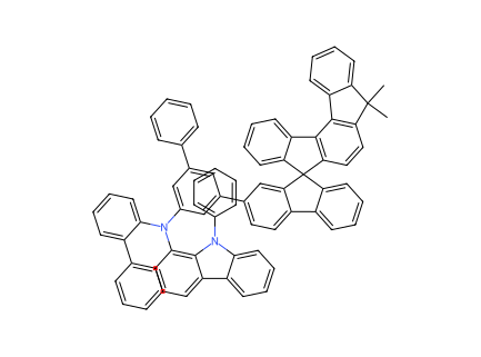 CC1(C)c2ccccc2-c2c1ccc1c2-c2ccccc2C12c1ccccc1-c1ccc(-c3cc(-c4ccccc4)cc(N(c4ccccc4-c4ccccc4)c4cccc5c6ccccc6n(-c6ccccc6)c45)c3)cc12